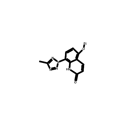 CCOc1ccc(-n2nnc(C)n2)c2[nH]c(=O)ccc12